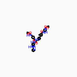 Cc1cc(C(=O)NC2CCN(C(=O)OC(C)(C)C)CC2)ccc1-c1ccc(C[C@H](NC(=O)C2CCC(CNC(=O)OC(C)(C)C)CC2)C(=O)Nc2ccc3[nH]c(-c4ccccn4)nc3c2)cc1